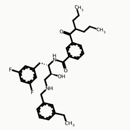 CCCC(CCC)C(=O)c1cccc(C(=O)N[C@@H](Cc2cc(F)cc(F)c2)[C@@H](O)CNCc2cccc(CC)c2)c1